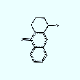 O=c1c2ccccc2nc2n1CCCC2Br